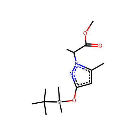 COC(=O)C(C)n1nc(O[Si](C)(C)C(C)(C)C)cc1C